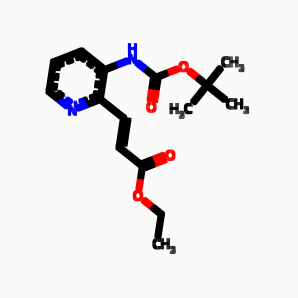 CCOC(=O)/C=C/c1ncccc1NC(=O)OC(C)(C)C